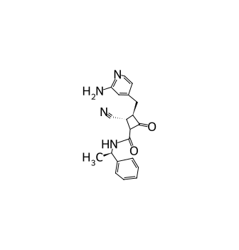 C[C@@H](NC(=O)C1C(=O)[C@H](Cc2ccnc(N)c2)[C@H]1C#N)c1ccccc1